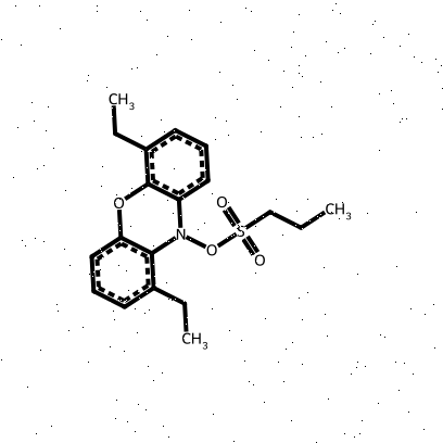 CCCS(=O)(=O)ON1c2cccc(CC)c2Oc2cccc(CC)c21